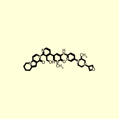 CC1CN(C2COC2)CCN1c1ccc(Nc2cc(-c3ccnc(-n4ccc5c(cc6n5CCCC6)c4=O)c3CO)cn(C)c2=O)nc1